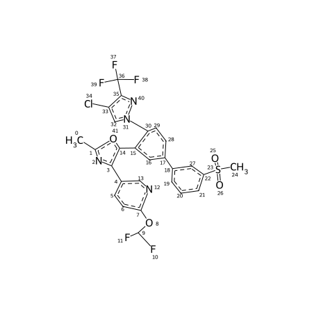 Cc1nc(-c2ccc(OC(F)F)nc2)c(-c2cc(-c3cccc(S(C)(=O)=O)c3)ccc2-n2cc(Cl)c(C(F)(F)F)n2)o1